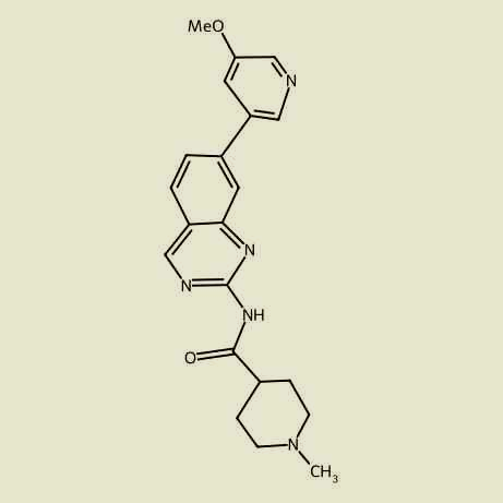 COc1cncc(-c2ccc3cnc(NC(=O)C4CCN(C)CC4)nc3c2)c1